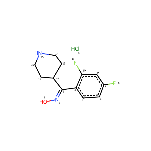 Cl.ON=C(c1ccc(F)cc1F)C1CCNCC1